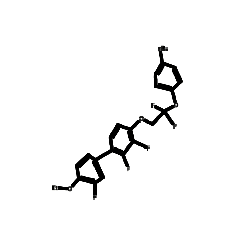 CCCCc1ccc(OC(F)(F)COc2ccc(-c3ccc(OCC)c(F)c3)c(F)c2F)cc1